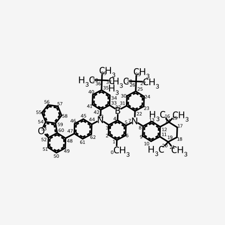 Cc1cc2c3c(c1)N(c1ccc4c(c1)C(C)(C)CCC4(C)C)c1ccc(C(C)(C)C)cc1B3c1cc(C(C)(C)C)ccc1N2c1ccc(-c2cccc3oc4ccccc4c23)cc1